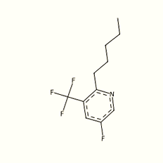 CCCCCc1ncc(F)cc1C(F)(F)F